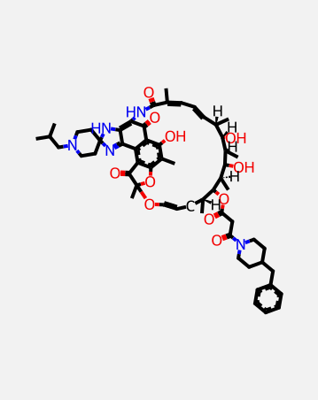 C/C1=C/C=C/[C@H](C)[C@H](O)[C@@H](C)C(O)[C@@H](C)C(OC(=O)CC(=O)N2CCC(Cc3ccccc3)CC2)[C@H](C)C/C=C/OC2(C)Oc3c(C)c(O)c4c(c3C2=O)C2=NC3(CCN(CC(C)C)CC3)NC2=C(NC1=O)C4=O